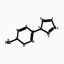 OC1[C]=CC(n2ncnn2)=CC1